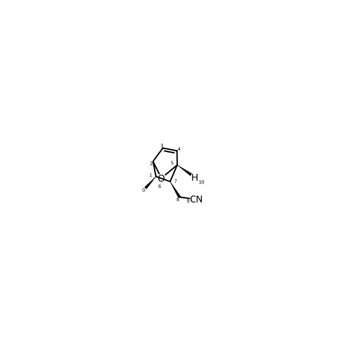 C[C@H]1C2C=C[C@@H](O2)[C@H]1CC#N